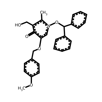 COc1ccc(COc2cn(OC(c3ccccc3)c3ccccc3)c(C)c(CO)c2=O)cc1